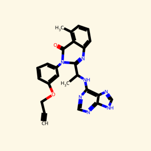 C#CCOc1cccc(-n2c(C(C)Nc3ncnc4[nH]cnc34)nc3cccc(C)c3c2=O)c1